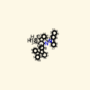 CCC(C)C1=C(/C(=N\C(C)n2c3ccccc3c3cc4ccccc4cc32)c2ccc3c(c2)C2=C(C=CCC2)C3(c2ccccc2)c2ccccc2)c2ccccc2C1(C)C